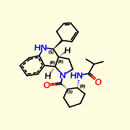 CC(C)C(=O)N[C@@H]1CCCC[C@@H]1C(=O)N1CC[C@@H]2[C@H](C3C=CC=CC3)Nc3ccccc3[C@@H]21